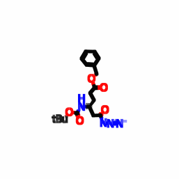 CC(C)(C)OC(=O)N[C@@H](CCC(=O)OCc1ccccc1)CC(=O)N=[N+]=[N-]